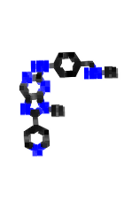 CCNCc1ccc(Nc2ncc3nc(-c4ccncc4)n(CC)c3n2)cc1